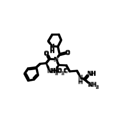 N=C(N)NCCC[C@@H](C(=O)O)N(C(=O)C1CCCCN1)C(=O)[C@@H](N)Cc1ccccc1